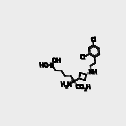 N[C@](CCCCB(O)O)(C(=O)O)[C@H]1C[C@H](NCCc2ccc(Cl)cc2Cl)C1